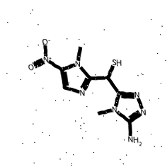 Cn1c([N+](=O)[O-])cnc1C(S)c1nnc(N)n1C